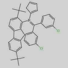 CC(C)(C)c1ccc2c(c1)Cc1c-2ccc(C(C)(C)C)[c]1[Zr]([C]1=CC=CC1)=[C](c1cccc(Cl)c1)c1cccc(Cl)c1